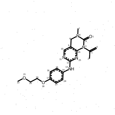 C=C(C)N1C(=O)N(C)Cc2cnc(Nc3ccc(OCCOC)cc3)nc21